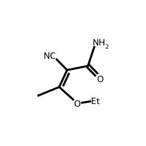 CCOC(C)=C(C#N)C(N)=O